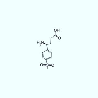 CS(=O)(=O)c1ccc([C@@H](N)CCC(=O)O)cc1